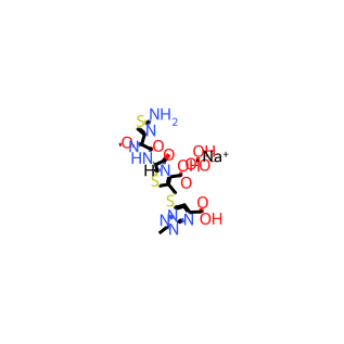 CON=C(C(=O)N[C@@H]1C(=O)N2C(C(=O)O)=C(CSc3cc(C(=O)O)nc4nc(C)nn34)CS[C@H]12)c1csc(N)n1.O=C([O-])O.[Na+]